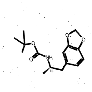 C[C@H](Cc1ccc2c(c1)OCO2)NC(=O)OC(C)(C)C